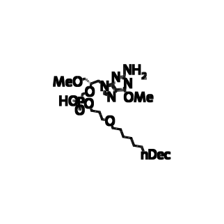 CCCCCCCCCCCCCCCCOCCCOP(=O)(O)CO[C@H](COC)Cn1cnc2c(OC)nc(N)nc21